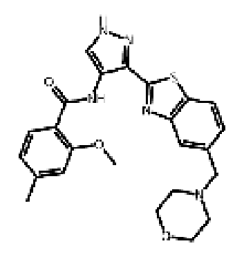 COc1cc(C)ccc1C(=O)Nc1c[nH]nc1-c1nc2cc(CN3CCOCC3)ccc2s1